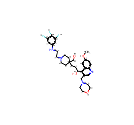 COc1ccc2ncc(CN3CCOCC3)c([C@H](O)CCC3(CO)CCN(CCNc4cc(F)c(F)c(F)c4)CC3)c2c1